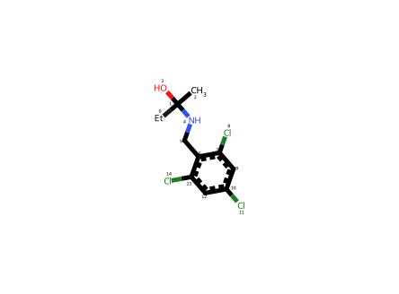 CCC(C)(O)NCc1c(Cl)cc(Cl)cc1Cl